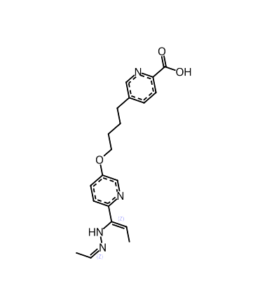 C/C=N\N/C(=C\C)c1ccc(OCCCCc2ccc(C(=O)O)nc2)cn1